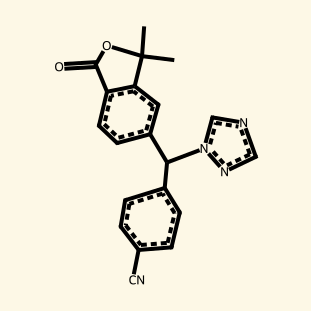 CC1(C)OC(=O)c2ccc(C(c3ccc(C#N)cc3)n3cncn3)cc21